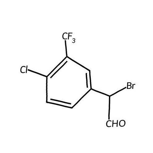 O=CC(Br)c1ccc(Cl)c(C(F)(F)F)c1